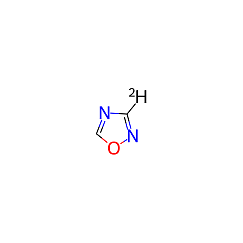 [2H]c1ncon1